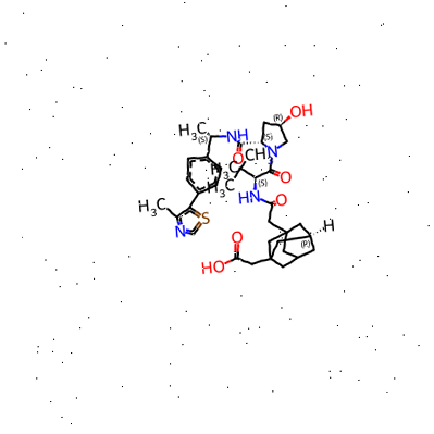 Cc1ncsc1-c1ccc([C@H](C)NC(=O)[C@@H]2C[C@@H](O)CN2C(=O)[C@@H](NC(=O)CC23CC4C[C@@H](CC(CC(=O)O)(C4)C2)C3)C(C)(C)C)cc1